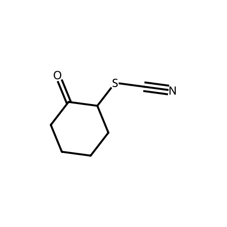 N#CSC1CCCCC1=O